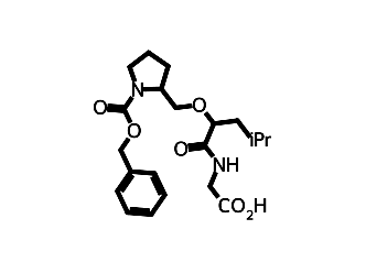 CC(C)CC(OCC1CCCN1C(=O)OCc1ccccc1)C(=O)NCC(=O)O